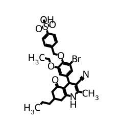 CCCC1CC(=O)C2=C(C1)NC(C)=C(C#N)C2c1cc(Br)c(OCc2ccc(S(=O)(=O)O)cc2)c(OCC)c1